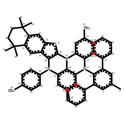 Cc1cc(-c2ccccc2)c(N2c3ccc(C(C)(C)C)cc3B3c4sc5cc6c(cc5c4N(c4ccc(C(C)(C)C)cc4)c4cc(C)cc2c43)C(C)(C)CCC6(C)C)c(-c2ccccc2)c1